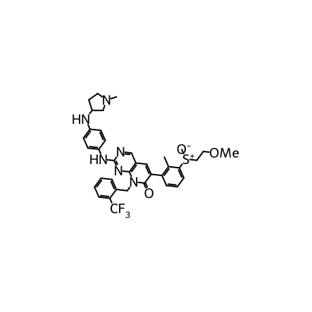 COCC[S+]([O-])c1cccc(-c2cc3cnc(Nc4ccc(NC5CCN(C)C5)cc4)nc3n(Cc3ccccc3C(F)(F)F)c2=O)c1C